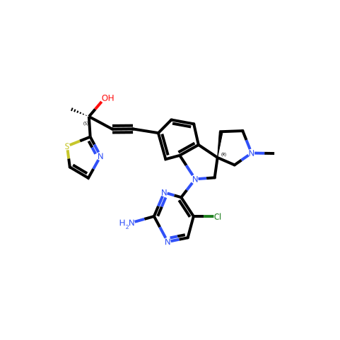 CN1CC[C@@]2(C1)CN(c1nc(N)ncc1Cl)c1cc(C#C[C@](C)(O)c3nccs3)ccc12